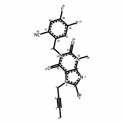 CC#CCn1c(Br)nc2c1c(=O)n(Cc1cc(F)c(F)cc1C#N)c(=O)n2C